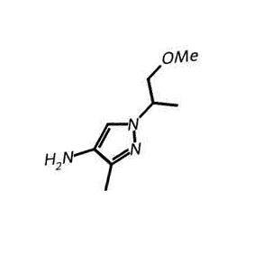 COCC(C)n1cc(N)c(C)n1